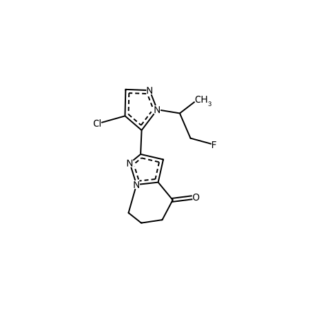 CC(CF)n1ncc(Cl)c1-c1cc2n(n1)CCCC2=O